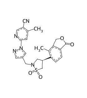 Cc1cc(-n2cc(CN3C[C@@H](c4ccc5c(c4C)COC5=O)CS3(=O)=O)cn2)ncc1C#N